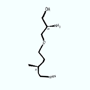 CCCCCCC[C@@H](C)CCOC[C@H](N)CO